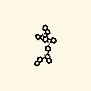 c1ccc2cc(-c3nc(-c4ccc(-n5c6ccccc6c6c7c8ccc9ccccc9c8n8c9ccccc9c(cc65)c78)cc4)nc4ccccc34)ccc2c1